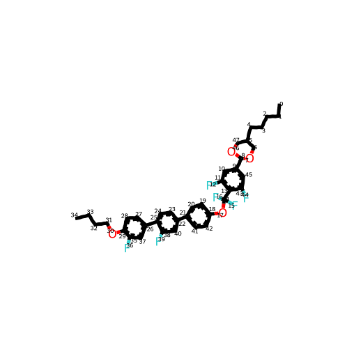 CCCCCC1COC(c2cc(F)c(C(F)(F)Oc3ccc(-c4ccc(-c5ccc(OCCCC)c(F)c5)c(F)c4)cc3)c(F)c2)OC1